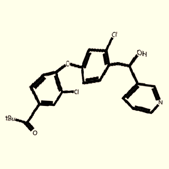 CC(C)(C)C(=O)c1ccc(Oc2ccc(C(O)c3cccnc3)c(Cl)c2)c(Cl)c1